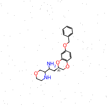 NC(C[C@@H]1COc2ccc(OCc3ccccc3)cc2O1)C1COCCN1